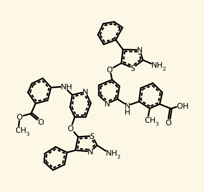 COC(=O)c1cccc(Nc2cc(Oc3sc(N)nc3-c3ccccc3)ccn2)c1.Cc1c(Nc2cc(Oc3sc(N)nc3-c3ccccc3)ccn2)cccc1C(=O)O